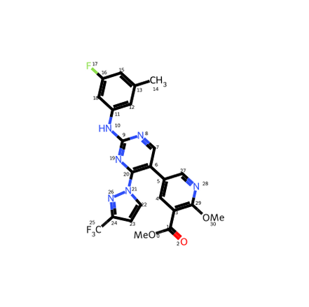 COC(=O)c1cc(-c2cnc(Nc3cc(C)cc(F)c3)nc2-n2ccc(C(F)(F)F)n2)cnc1OC